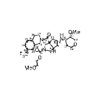 COCCOC(=O)N1C[C@@H]2C[C@@H](NC3CCOCC3OC)C[C@]2(C(=O)N2CCc3ccc(C(F)(F)F)cc3C2)C1